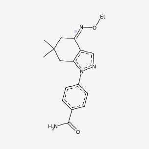 CCO/N=C1/CC(C)(C)Cc2c1cnn2-c1ccc(C(N)=O)cc1